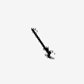 CC(C)(C)OC(=O)NCc1cc(Oc2cccc(C(=O)NCCOCCOCCOCCOCCOCCOCCOCCN)c2)nc(C(F)(F)F)c1